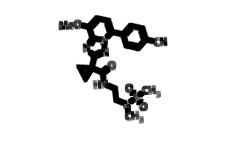 COc1ccc(-c2ccc(C#N)cc2)n2nc(C3(C(=O)NCCN(C)S(C)(=O)=O)CC3)nc12